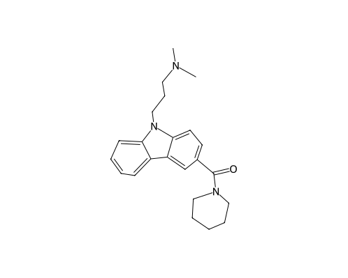 CN(C)CCCn1c2ccccc2c2cc(C(=O)N3CCCCC3)ccc21